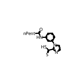 CCCCCC(=O)Nc1cccc(-n2ccnc2C(=S)S)c1